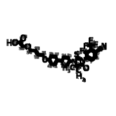 CC1(C)C(=O)N(C2=CC=C(C#N)C(C(F)(F)F)C2F)C(=S)N1c1ccc(-c2ccc(OCCCCOCC(=O)O)cc2)nc1